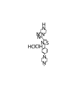 CN1CCN(c2ccc(-c3nc(-c4nnc5n4CCNC5)cs3)cc2)CC1.Cl.Cl